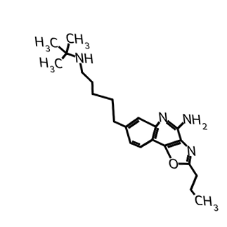 CCCc1nc2c(N)nc3cc(CCCCCNC(C)(C)C)ccc3c2o1